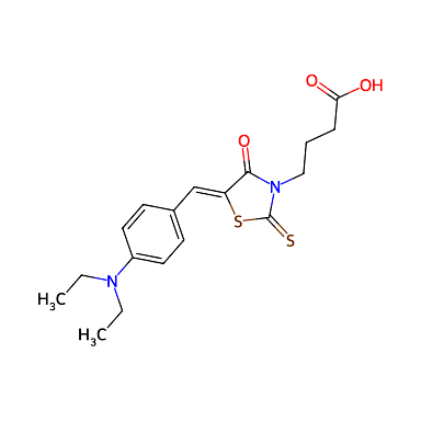 CCN(CC)c1ccc(/C=C2\SC(=S)N(CCCC(=O)O)C2=O)cc1